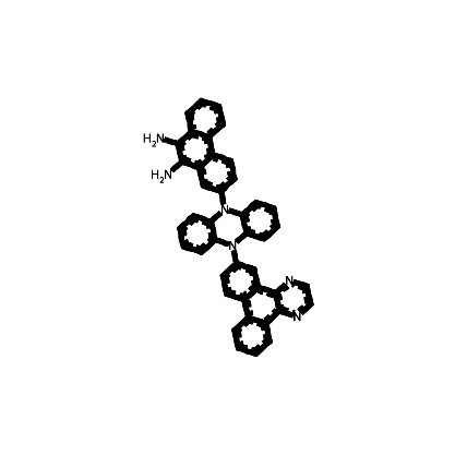 Nc1c(N)c2cc(N3c4ccccc4N(c4ccc5c6ccccc6c6nccnc6c5c4)c4ccccc43)ccc2c2ccccc12